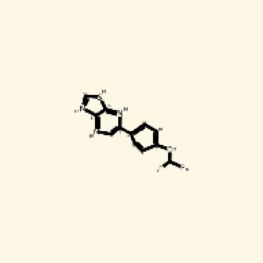 FC(F)Oc1ccc(-c2cnc3ncsc3n2)cc1